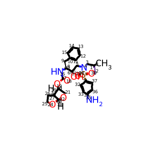 CC(I)CN(C[C@@H](O)[C@H](Cc1ccccc1)NC(=O)O[C@H]1CO[C@H]2OCC[C@H]21)S(=O)(=O)c1ccc(N)cc1